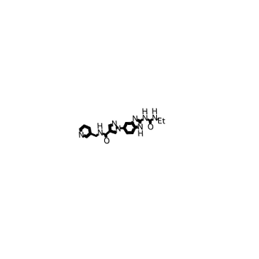 CCNC(=O)Nc1nc2cc(-n3cc(C(=O)NCc4cccnc4)cn3)ccc2[nH]1